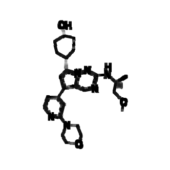 COC[C@H](C)Nc1ncc2c(-c3ccnc(N4CCOCC4)c3)cc([C@H]3CC[C@@H](O)CC3)n2n1